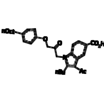 CCCCCCCCc1ccc(OCC(=O)Cn2c(CCCC)c(C(C)=O)c3cc(C(=O)O)ccc32)cc1